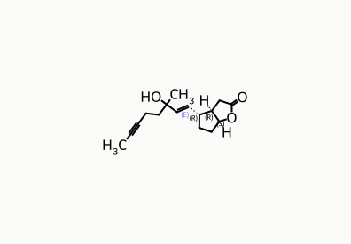 CC#CCCC(C)(O)/C=C/[C@H]1CC[C@@H]2OC(=O)C[C@@H]21